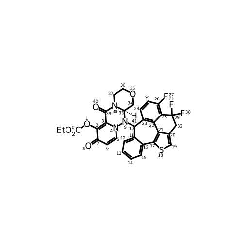 CCOC(=O)Oc1c2n(ccc1=O)N(C1c3ccccc3-c3scc4c3-c3c1ccc(F)c3C(F)(F)C4)[C@@H]1COCCN1C2=O